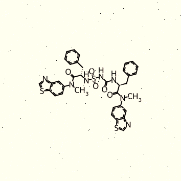 CN(C(=O)[C@H](Cc1ccccc1)NC(=O)NS(=O)(=O)N[C@@H](Cc1ccccc1)C(=O)N(C)c1ccc2scnc2c1)c1ccc2scnc2c1